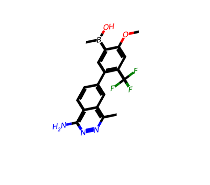 COc1cc(C(F)(F)F)c(-c2ccc3c(N)nnc(C)c3c2)cc1B(C)O